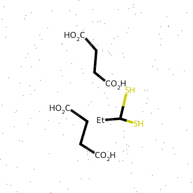 CCC(S)S.O=C(O)CCC(=O)O.O=C(O)CCC(=O)O